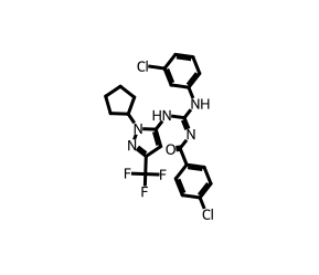 O=C(/N=C(/Nc1cccc(Cl)c1)Nc1cc(C(F)(F)F)nn1C1CCCC1)c1ccc(Cl)cc1